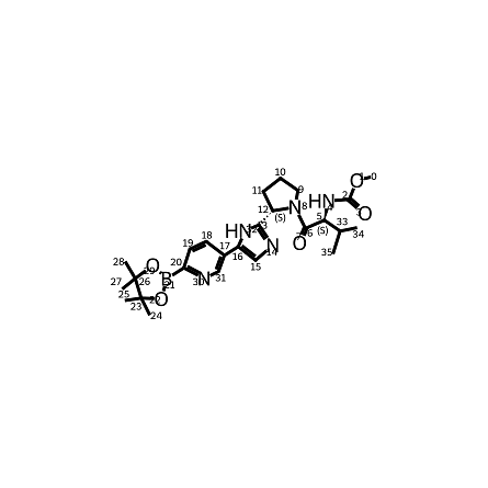 COC(=O)N[C@H](C(=O)N1CCC[C@H]1c1ncc(-c2ccc(B3OC(C)(C)C(C)(C)O3)nc2)[nH]1)C(C)C